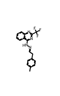 Cc1ccc(CC=NNc2nc(C(F)(F)F)nc3ccccc23)cc1